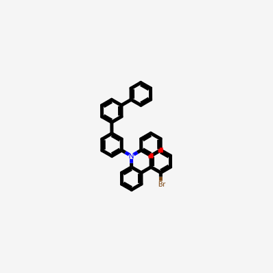 Brc1ccccc1-c1ccccc1N(c1ccccc1)c1cccc(-c2cccc(-c3ccccc3)c2)c1